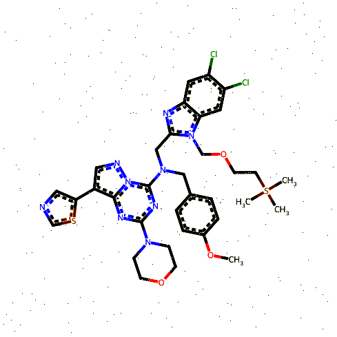 COc1ccc(CN(Cc2nc3cc(Cl)c(Cl)cc3n2COCCS(C)(C)C)c2nc(N3CCOCC3)nc3c(-c4cncs4)cnn23)cc1